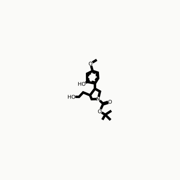 COc1ccc(C2CN(C(=O)OC(C)(C)C)CC2CCO)c(O)c1